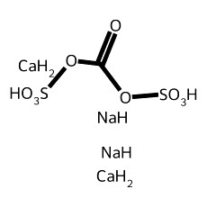 O=C(OS(=O)(=O)O)OS(=O)(=O)O.[CaH2].[CaH2].[NaH].[NaH]